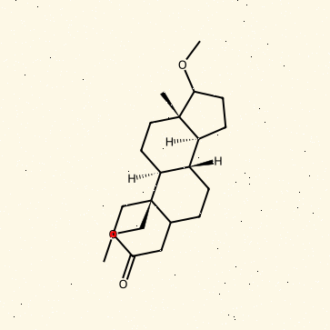 COC[C@]12CCC(=O)CC1CC[C@@H]1[C@@H]2CC[C@]2(C)C(OC)CC[C@@H]12